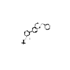 O=C(Nc1cccc(-c2ccc3c(c2)CCN(CC2CCCCC2)C3)c1)C(F)(F)F